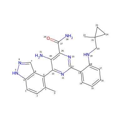 Cc1ccc2[nH]ncc2c1-c1nc(-c2ccccc2NCC2(C)CC2)nc(C(N)=O)c1N